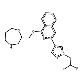 FC(F)Cn1cc(-c2cc3ncccc3c(OC[C@@H]3CNCCCO3)n2)cn1